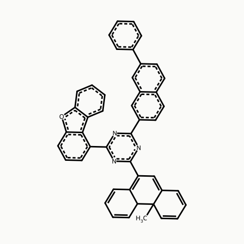 CC12C=CC=CC1=CC(c1nc(-c3ccc4ccc(-c5ccccc5)cc4c3)nc(-c3cccc4oc5ccccc5c34)n1)=C1C=CC=CC12